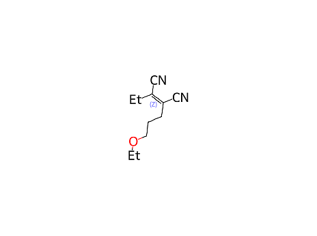 CCOCCC/C(C#N)=C(/C#N)CC